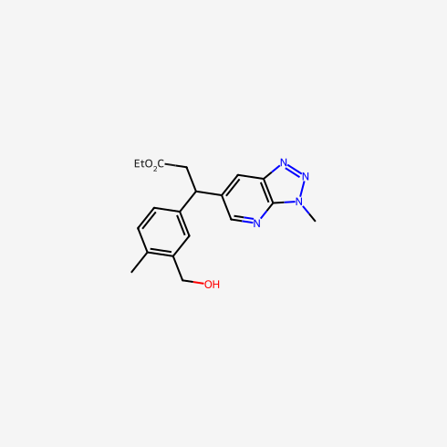 CCOC(=O)CC(c1ccc(C)c(CO)c1)c1cnc2c(c1)nnn2C